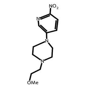 COCCN1CCN(c2ccc([N+](=O)[O-])nc2)CC1